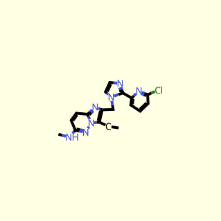 CCc1c(Cn2ccnc2-c2cccc(Cl)n2)nc2ccc(NC)nn12